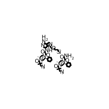 C[C@@H]1CN(C(=O)C(=O)Nc2cnc(N)c3cnn(COCC[Si](C)(C)C)c23)[C@@H](c2ccccc2)CN1C(=O)C(C)(C)CN(C)C.C[C@@H]1CN(C(=O)C(N)=O)[C@@H](c2ccccc2)CN1C(=O)C(C)(C)CN(C)C